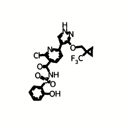 O=C(NS(=O)(=O)c1ccccc1O)c1ccc(-c2c[nH]nc2OCC2(C(F)(F)F)CC2)nc1Cl